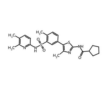 Cc1ccc(-c2sc(NC(=O)C3CCCC3)nc2C)cc1S(=O)(=O)Nc1ccc(C)c(C)n1